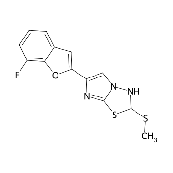 CSC1Nn2cc(-c3cc4cccc(F)c4o3)nc2S1